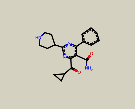 NC(=O)c1c(C(=O)C2CC2)nc(C2CCNCC2)nc1-c1ccccc1